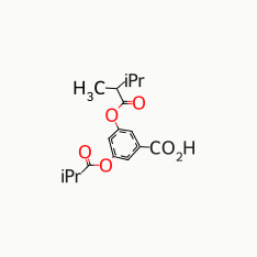 CC(C)C(=O)Oc1cc(OC(=O)C(C)C(C)C)cc(C(=O)O)c1